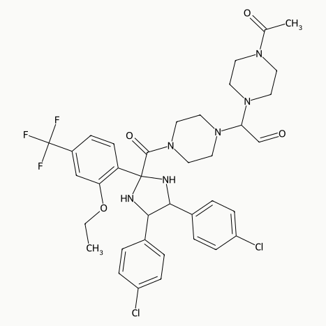 CCOc1cc(C(F)(F)F)ccc1C1(C(=O)N2CCN(C(C=O)N3CCN(C(C)=O)CC3)CC2)NC(c2ccc(Cl)cc2)C(c2ccc(Cl)cc2)N1